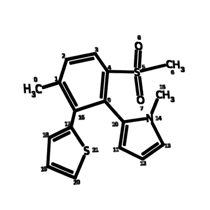 Cc1ccc(S(C)(=O)=O)c(-c2cccn2C)c1-c1cccs1